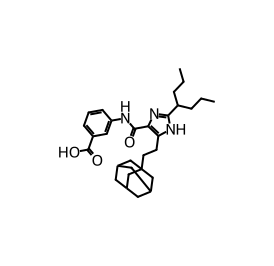 CCCC(CCC)c1nc(C(=O)Nc2cccc(C(=O)O)c2)c(CCC23CC4CC(CC(C4)C2)C3)[nH]1